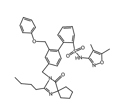 CCCCC1=NC2(CCCC2)C(=O)N1Cc1ccc(-c2ccccc2S(=O)(=O)Nc2noc(C)c2C)c(COc2ccccc2)c1